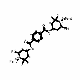 CCCCCN1C(C(C)C)CC(OC(=O)c2ccc(C(=O)OC3CC(C(C)C)N(CCCCC)C(C)(C)C3)cc2)CC1(C)C